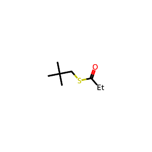 CCC(=O)SCC(C)(C)C